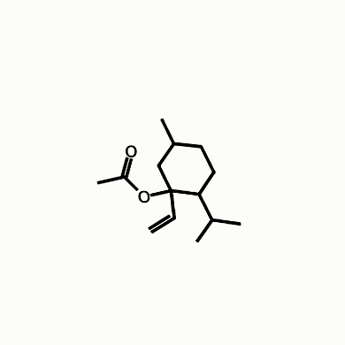 C=CC1(OC(C)=O)CC(C)CCC1C(C)C